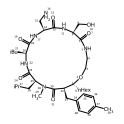 CCCCCC[C@H]1OCCNC(=O)[C@H](CO)NC(=O)[C@H](CN)NC(=O)[C@H](C(C)CC)NC(=O)[C@H](CC(C)C)N(C)C(=O)[C@@H]1Cc1ccc(C)cc1